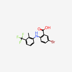 Cc1c(Nc2ccc(Br)cc2C(=O)O)cccc1C(F)(F)F